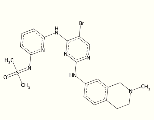 CN1CCc2ccc(Nc3ncc(Br)c(Nc4cccc(N=S(C)(C)=O)n4)n3)cc2C1